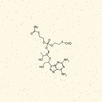 CC(O)[C@@H](COP(=O)(OCCSC=O)OCCSC(=O)C(C)(C)C)OC(CO)c1cnc2c(N)nc(N)nn12